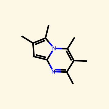 Cc1cc2nc(C)c(C)c(C)n2c1C